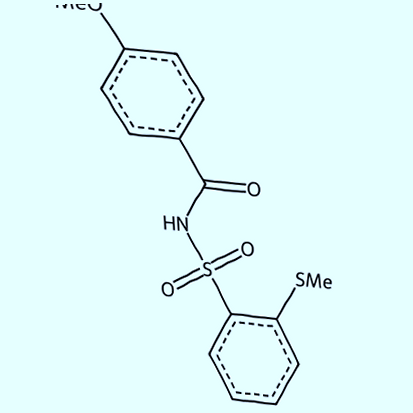 COc1ccc(C(=O)NS(=O)(=O)c2ccccc2SC)cc1